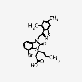 CCCC(CC(=O)O)n1c(=O)n(Cc2nsc3cc(C)cc(C)c23)c2cccc(Br)c21